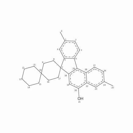 Cc1ccc2c(c1)C1(CCC3(CCCCC3)CC1)c1cc(O)c3cc(C)ccc3c1-2